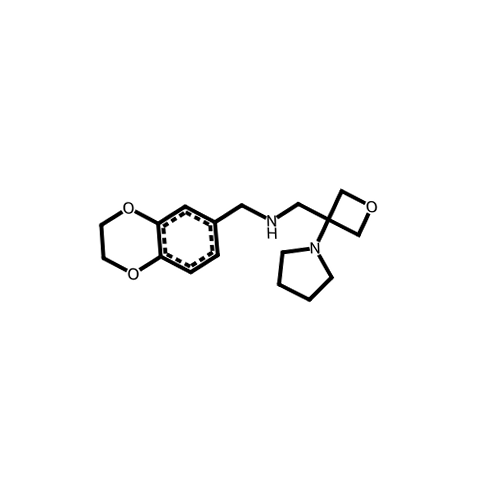 c1cc2c(cc1CNCC1(N3CCCC3)COC1)OCCO2